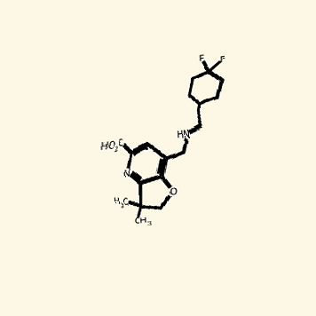 CC1(C)COc2c(CNCC3CCC(F)(F)CC3)cc(C(=O)O)nc21